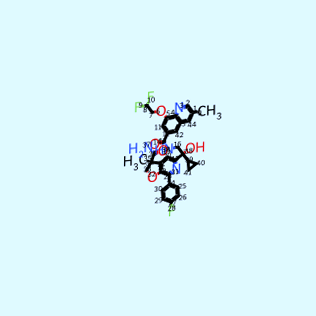 Cc1cnc2c(OCC(F)F)cc(C(=O)NCC(O)(c3cc4c(c(-c5ccc(F)cc5)n3)OC[C@]4(C)C(N)=O)C3CC3)cc2c1